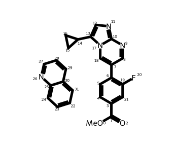 COC(=O)c1ccc(-c2cnc3ncc(C4CC4)n3c2)c(F)c1.c1ccc2ncccc2c1